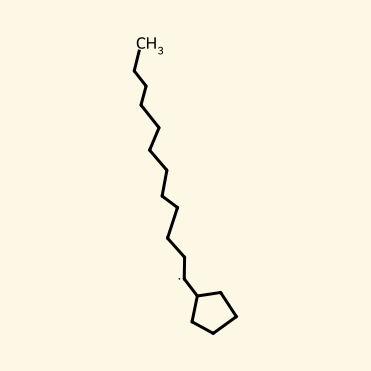 CCCCCCCCCCC[CH]C1CCCC1